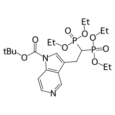 CCOP(=O)(OCC)C(Cc1cn(C(=O)OC(C)(C)C)c2ccncc12)P(=O)(OCC)OCC